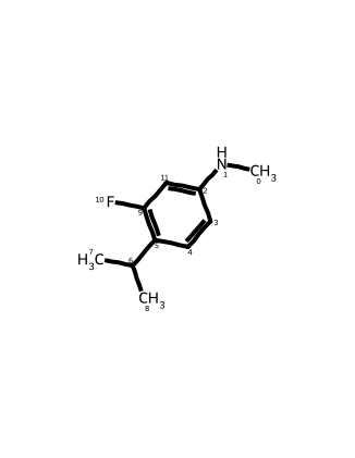 CNc1ccc(C(C)C)c(F)c1